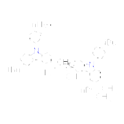 CCCCCCc1ccc(-n2c3ccc(C(C)(C)C)cc3c3cc(C(C)(CC)C[C@](C)(CC)c4ccc5c(c4)c4cc(C(C)(C)CCC)ccc4n5-c4ccc(C(C)CC)cc4)ccc32)cc1